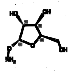 NO[C@H]1O[C@H](CO)[C@H](O)[C@H]1O